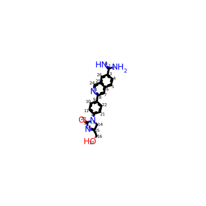 N=C(N)c1ccc2cc(-c3ccc(N4CC(CO)=NC4=O)cc3)ncc2c1